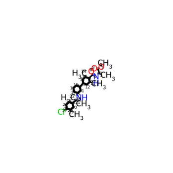 COC(=O)[C@H](C)NC(=O)c1c(C)cc(-c2cccc(NC(C)(C)c3ccc(Cl)c(C)c3)c2)cc1C